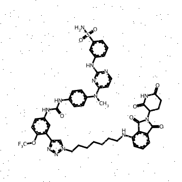 CN(c1ccc(NC(=O)Nc2ccc(OC(F)(F)F)c(-c3cn(CCCCCCCNc4cccc5c4C(=O)N(C4CCC(=O)NC4=O)C5=O)nn3)c2)cc1)c1ccnc(Nc2cccc(S(N)(=O)=O)c2)n1